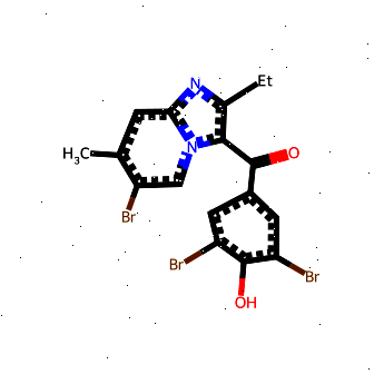 CCc1nc2cc(C)c(Br)cn2c1C(=O)c1cc(Br)c(O)c(Br)c1